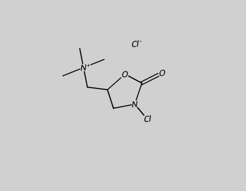 C[N+](C)(C)CC1CN(Cl)C(=O)O1.[Cl-]